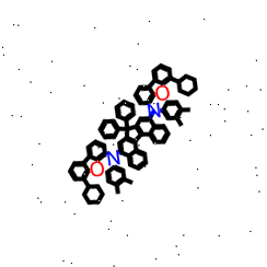 Cc1ccc(N(c2cc3c(c4ccccc24)-c2c(cc(N(c4ccc(C)c(C)c4)c4cccc5c4oc4c(C6CCCCC6)cccc45)c4ccccc24)C3(c2ccccc2)c2ccccc2)c2cccc3c2oc2c(C4CCCCC4)cccc23)cc1C